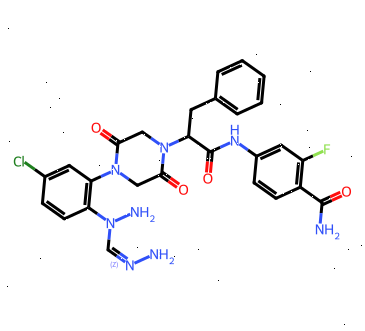 N/N=C\N(N)c1ccc(Cl)cc1N1CC(=O)N(C(Cc2ccccc2)C(=O)Nc2ccc(C(N)=O)c(F)c2)CC1=O